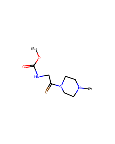 CC(C)N1CCN(C(=S)CNC(=O)OC(C)(C)C)CC1